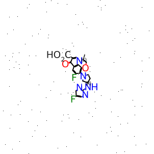 C[C@H]1COc2c(N3CC[C@@H](Nc4ncc(F)cn4)C3)c(F)cc3c(=O)c(C(=O)O)cn1c23